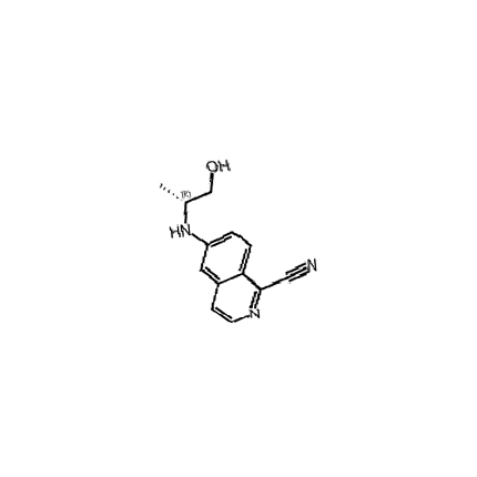 C[C@H](CO)Nc1ccc2c(C#N)nccc2c1